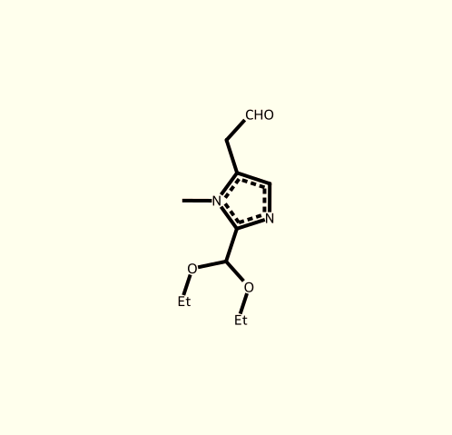 CCOC(OCC)c1ncc(CC=O)n1C